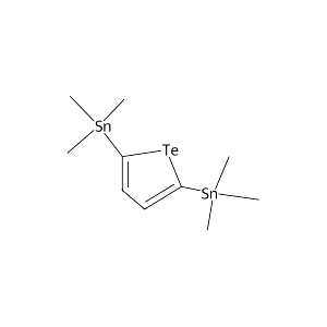 [CH3][Sn]([CH3])([CH3])[c]1cc[c]([Sn]([CH3])([CH3])[CH3])[te]1